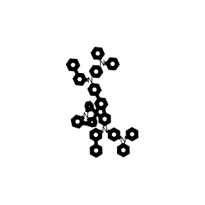 c1ccc(-c2cccc(N(c3ccc(-c4ccc5c(c4)C4(c6cc(N(c7ccc(N(c8ccccc8)c8ccccc8)cc7)c7cccc(-c8ccccc8)c7)ccc6-5)c5ccccc5-n5c6ccccc6c6cccc4c65)cc3)c3ccc(N(c4ccccc4)c4ccccc4)cc3)c2)cc1